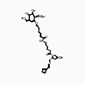 CC(=O)NC1C(OCCCCCC(=O)NCCCCCC(=O)N2C[C@H](O)C[C@H]2COC=CC2CCC2)CC(CO)C(O)C1O